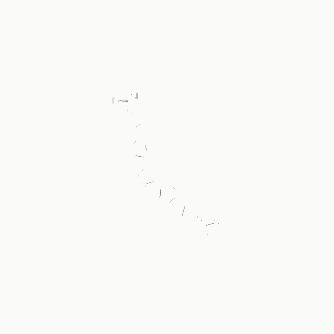 N=C(N)N1CC=C(c2ccc(-c3nnc(-c4ccc(C5=CCN(C(=N)N)CC5)cc4)o3)cc2)CC1